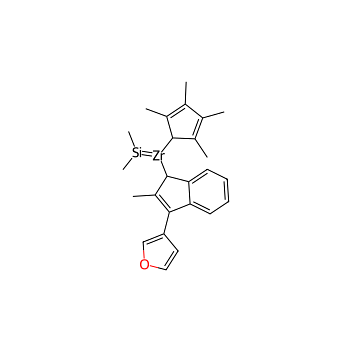 CC1=C(C)[CH]([Zr]([CH]2C(C)=C(c3ccoc3)c3ccccc32)=[Si](C)C)C(C)=C1C